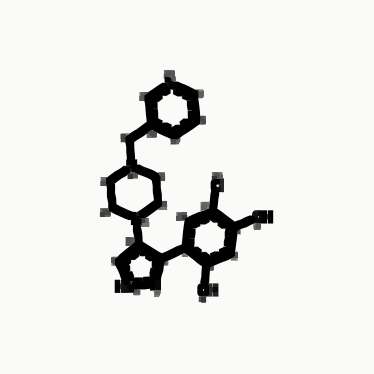 Oc1cc(O)c(-c2n[nH]cc2N2CCN(Cc3cccnc3)CC2)cc1Cl